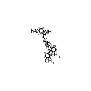 Cc1ccc(Sc2ccccc2N2CCN(CCCc3c[nH]c4ccc(C#N)cc34)CC2)c(C)c1